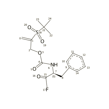 C=C(COC(=O)N[C@@H](Cc1ccccc1)C(=O)F)S(=O)(=O)C(C)(C)C